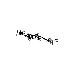 CCC1(C)OC(=O)C(/C=C/C=C/C=C2C(=O)OC3(CCC4(CC3)OC(=O)C(=C/C=C/C=C/C(C)=C(\O)OC(CC)(CC)OC=O)C(=O)O4)OC2=O)=C(O)O1